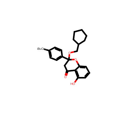 CC(C)COc1ccc(C2(OCC3CCCCC3)CC(=O)c3c(O)cccc3O2)cc1